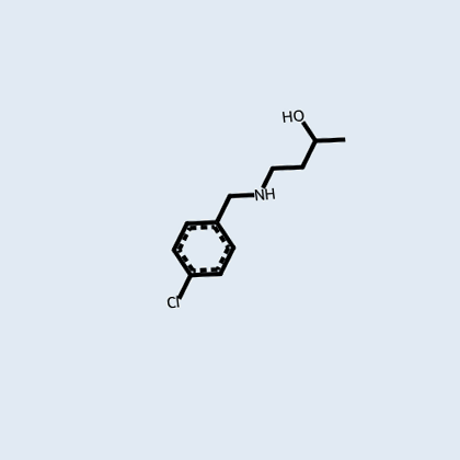 CC(O)CCNCc1ccc(Cl)cc1